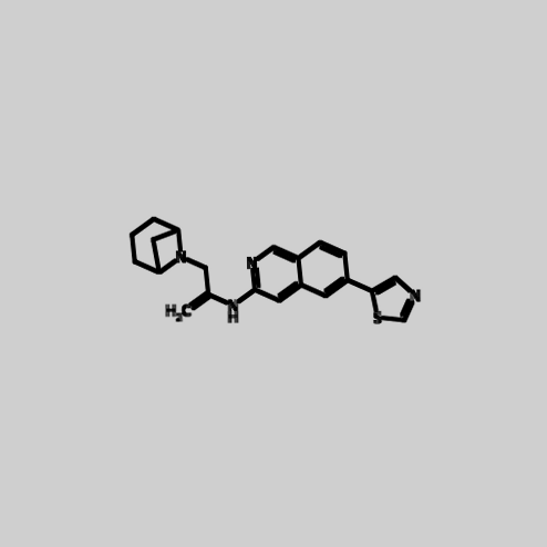 C=C(CN1C2CCCC1C2)Nc1cc2cc(-c3cncs3)ccc2cn1